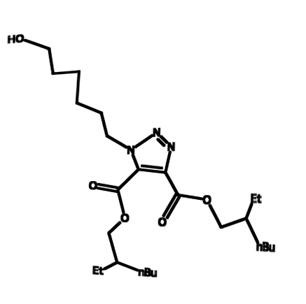 CCCCC(CC)COC(=O)c1nnn(CCCCCCO)c1C(=O)OCC(CC)CCCC